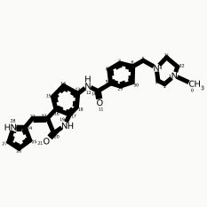 CN1CCN(Cc2ccc(C(=O)Nc3ccc4c(c3)NC(=O)/C4=C\c3ccc[nH]3)cc2)CC1